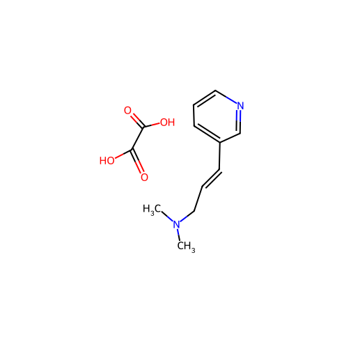 CN(C)CC=Cc1cccnc1.O=C(O)C(=O)O